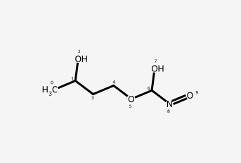 CC(O)CCOC(O)N=O